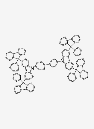 c1ccc(C2(c3ccc4c(c3)c3cc(C5(c6ccccc6)c6ccccc6-c6ccccc65)ccc3n4-c3ccc(-c4ccc(-n5c6ccc(C7(c8ccccc8)c8ccccc8-c8ccccc87)cc6c6cc(C7(c8ccccc8)c8ccccc8-c8ccccc87)ccc65)cc4)cc3)c3ccccc3-c3ccccc32)cc1